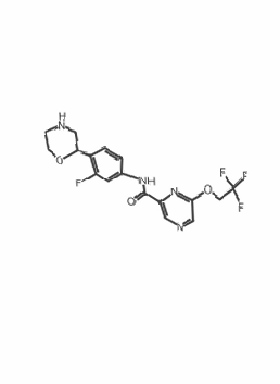 O=C(Nc1ccc([C@@H]2CNCCO2)c(F)c1)c1cncc(OCC(F)(F)F)n1